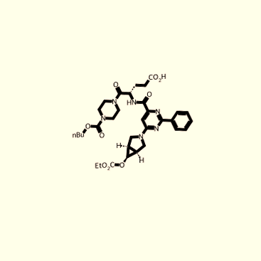 CCCCOC(=O)N1CCN(C(=O)[C@H](CCC(=O)O)NC(=O)c2cc(N3C[C@@H]4[C@H](C3)[C@@H]4OC(=O)OCC)nc(-c3ccccc3)n2)CC1